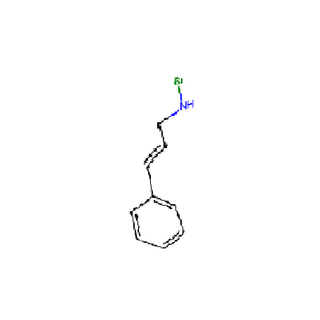 BrNCC=Cc1ccccc1